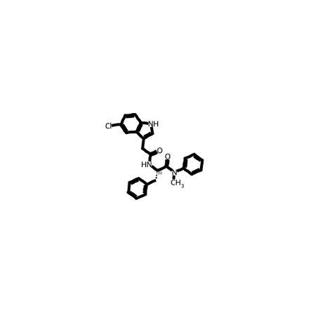 CN(C(=O)[C@H](Cc1ccccc1)NC(=O)Cc1c[nH]c2ccc(Cl)cc12)c1ccccc1